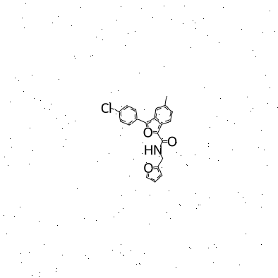 Cc1ccc2c(C(=O)NCc3ccco3)oc(-c3ccc(Cl)cc3)c2c1